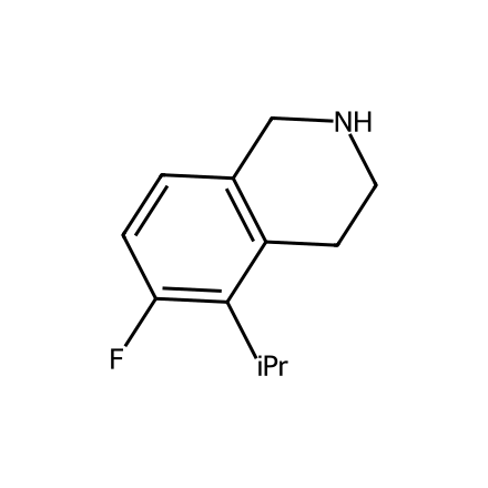 CC(C)c1c(F)ccc2c1CCNC2